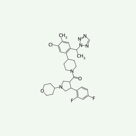 Cc1cc(C(C)n2ncnn2)c(C2CCN(C(=O)C3CN(C4CCOCC4)CC3c3ccc(F)cc3F)CC2)cc1Cl